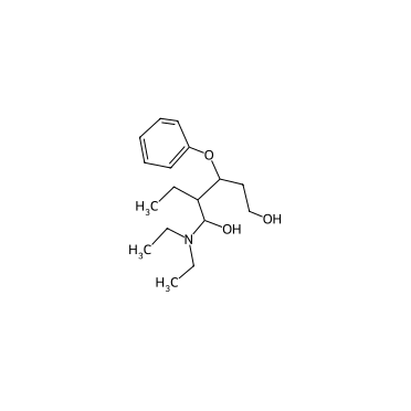 CCC(C(CCO)Oc1ccccc1)C(O)N(CC)CC